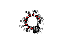 CC(C)CC1NC(=O)C(CC(C)C)NC(=O)C(CCCNC(=N)N)NC(=O)C(CCCCN)NC(=O)C(C)(C)NC(=O)C(CC(C)C)NC(=O)C(CCCCN)NC(=O)C(CCCNC(=N)N)NC(=O)C(CC(C)C)NC(=O)C(NC(=O)C(CO)NC(=O)C(C)NC(=O)c2ccccn2)CSSCC(C(N)=O)NC1=O